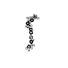 CCN(C)S(=O)(=O)Nc1ccc(F)c(Oc2ccc3ncn([C@H]4COC5(CCC(N6CCN(c7ccc(NC8CCC(=O)NC8=O)cc7F)CC6)CC5)C4)c(=O)c3c2)c1C#N